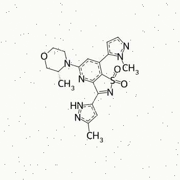 Cc1cc(C2=NS(=O)(=O)c3c(-c4ccnn4C)cc(N4CCOC[C@H]4C)nc32)[nH]n1